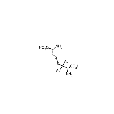 CC(=O)C(SSC[C@H](N)C(=O)O)(C(C)=O)[C@H](N)C(=O)O